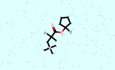 CCC1(OC(=O)C(C)(CC)C[Si](C)(C)C)CCCC1